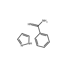 N=C(N)c1ccccc1.c1cn[nH]c1